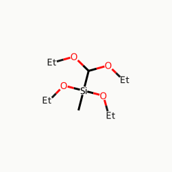 CCOC(OCC)[Si](C)(OCC)OCC